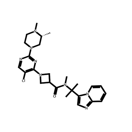 C[C@@H]1CN(c2ncc(Cl)c(N3CC(C(=O)N(C)C(C)(C)c4cnc5ccccn45)C3)n2)CCN1C